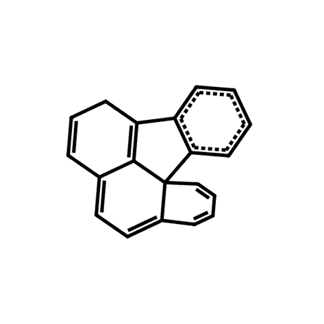 C1=CC2=CC=C3C=CCC4=C3C2(C=C1)c1ccccc14